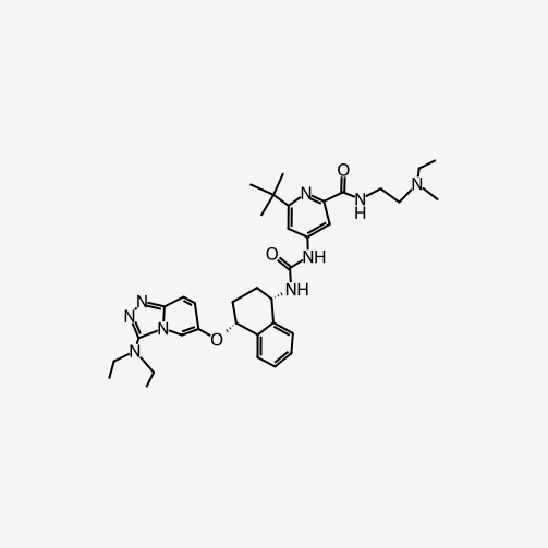 CCN(C)CCNC(=O)c1cc(NC(=O)N[C@H]2CC[C@@H](Oc3ccc4nnc(N(CC)CC)n4c3)c3ccccc32)cc(C(C)(C)C)n1